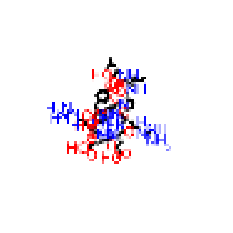 CC[C@H](C)[C@H](NC(=O)[C@@H]1CCCN1C(=O)[C@H](Cc1ccc(O)cc1)NC(=O)[C@H](CCCNC(=N)N)NC(=O)[C@H](CCC(=O)O)NC(=O)[C@H](CCC(=O)O)NC(=O)[C@H](CCCNC(=N)N)NC(=O)[C@@H](N)Cc1ccc(O)cc1)C(=O)N[C@@H](CC(C)C)C(=O)O